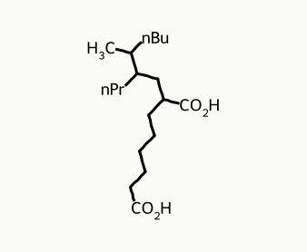 CCCCC(C)C(CCC)CC(CCCCCC(=O)O)C(=O)O